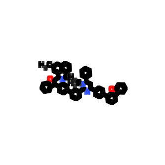 CC1C=C(C2c3oc4ccccc4c3-c3ccc(C4C=CC=C(C5=NC(c6ccc(-c7cccc8c7oc7ccccc78)cc6)=CC(c6ccccc6)N5C)C4)cc3N2C)c2ccccc2C1